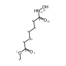 COC(=O)CSCCCC(=O)NO